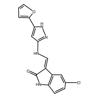 O=C1Nc2ccc(Cl)cc2C1=CNc1cc(-c2ccco2)[nH]n1